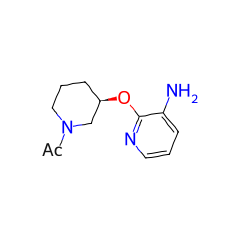 CC(=O)N1CCC[C@@H](Oc2ncccc2N)C1